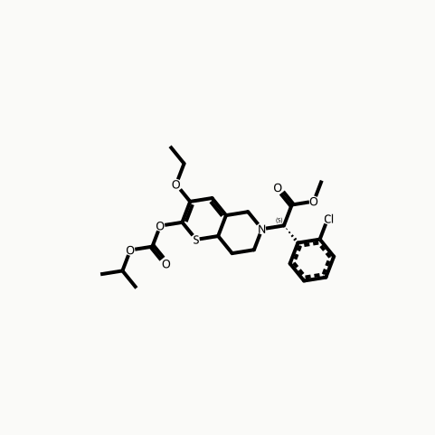 CCOC1=C(OC(=O)OC(C)C)SC2CCN([C@H](C(=O)OC)c3ccccc3Cl)CC2=C1